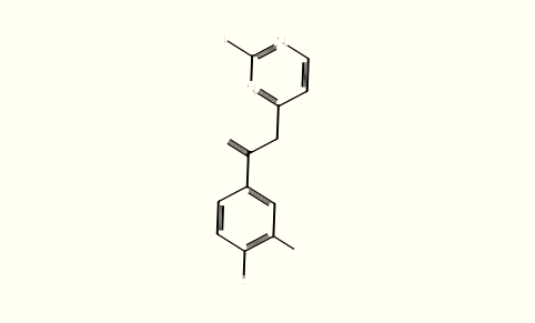 O=C(Cc1ccnc(Cl)n1)c1ccc(F)c(C(F)(F)F)c1